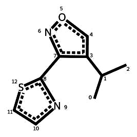 CC(C)c1conc1-c1nccs1